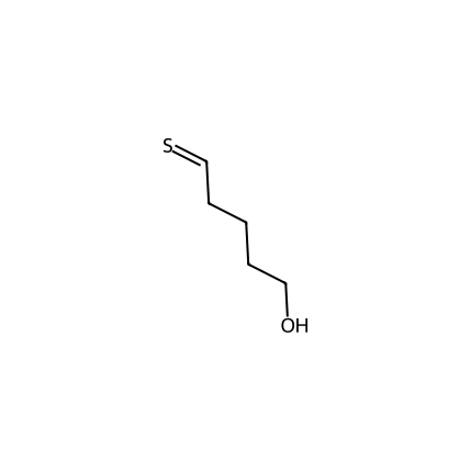 OCCCCC=S